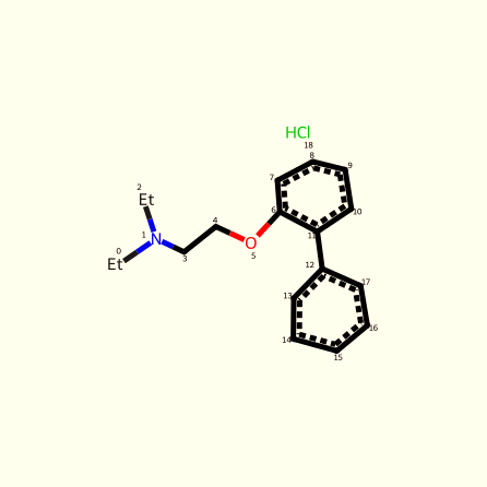 CCN(CC)CCOc1ccccc1-c1ccccc1.Cl